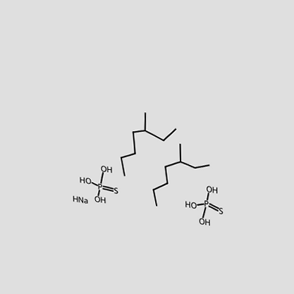 CCCCC(C)CC.CCCCC(C)CC.OP(O)(O)=S.OP(O)(O)=S.[NaH]